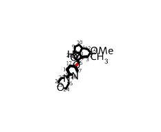 CO[C@]1(C)C=C2C(=O)O[C@@H]3CCC(C1)[C@]23OCc1ccc(N2CCOCC2)nc1